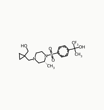 C[C@@H]1CN(CC2(CO)CC2)CCN1S(=O)(=O)c1ccc(C(C)(O)C(F)(F)F)cc1